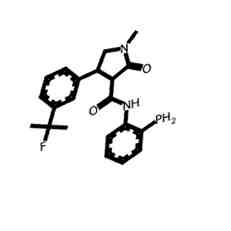 CN1CC(c2cccc(C(C)(C)F)c2)C(C(=O)Nc2ccccc2P)C1=O